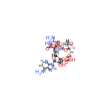 Nc1nc2c(ncn2[C@@H]2O[C@@]34CO[C@@H]3C2OP(=O)(O)OC[C@H]2O[C@@H](n3cnc5c(N)ccnc53)C(O)[C@H]2OP(=O)(O)OC4)c(=O)[nH]1